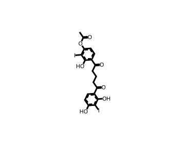 CC(=O)Oc1ccc(C(=O)CCCC(=O)c2ccc(O)c(I)c2O)c(O)c1I